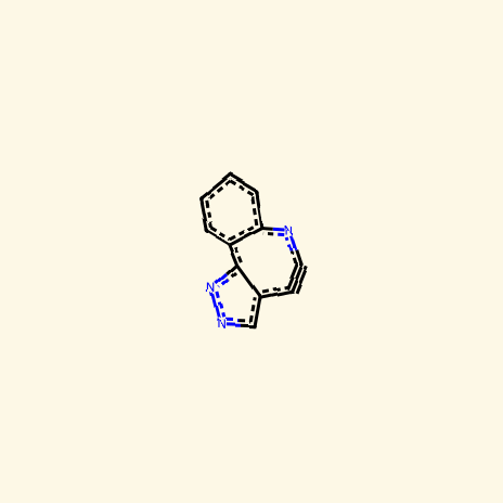 c1nc2ccccc2c2nncc-2c#1